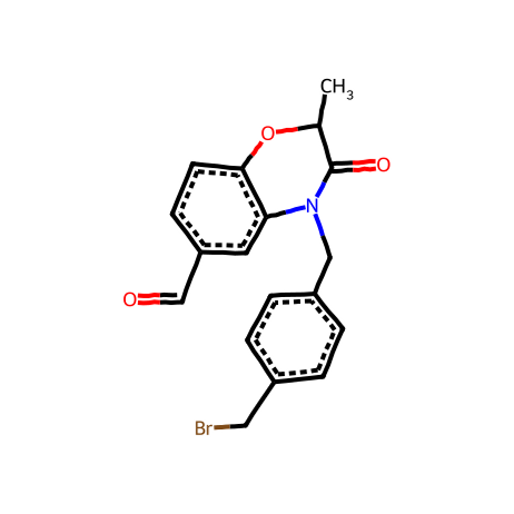 CC1Oc2ccc(C=O)cc2N(Cc2ccc(CBr)cc2)C1=O